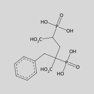 O=C(O)C(CC(Cc1ccccc1)(C(=O)O)P(=O)(O)O)P(=O)(O)O